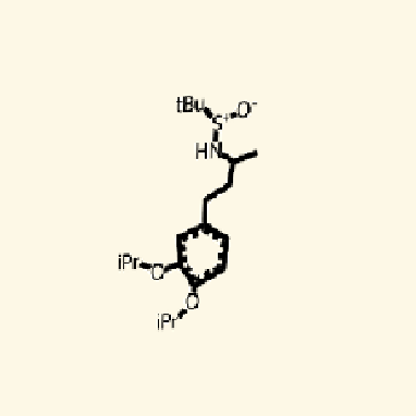 CC(CCc1ccc(OC(C)C)c(OC(C)C)c1)N[S+]([O-])C(C)(C)C